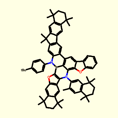 Cc1cc2c(cc1N1c3c(oc4cc5c(cc34)C(C)(C)CCC5(C)C)B3c4c(cc5c(oc6ccccc65)c41)-c1cc4c(cc1N3c1ccc(C(C)(C)C)cc1)C(C)(C)c1cc3c(cc1-4)C(C)(C)CCC3(C)C)C(C)(C)CCC2(C)C